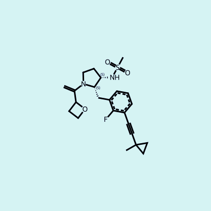 C=C(C1CCO1)N1CC[C@H](NS(C)(=O)=O)[C@@H]1Cc1cccc(C#CC2(C)CC2)c1F